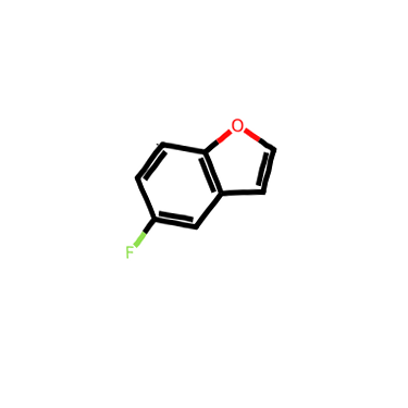 Fc1c[c]c2occc2c1